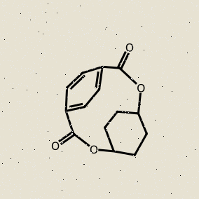 O=C1OC2CCC(CC2)OC(=O)c2ccc1cc2